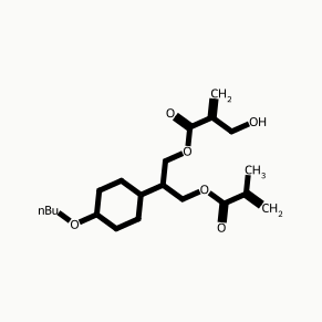 C=C(C)C(=O)OCC(COC(=O)C(=C)CO)C1CCC(OCCCC)CC1